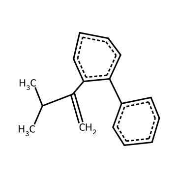 C=C(c1ccccc1-c1ccccc1)C(C)C